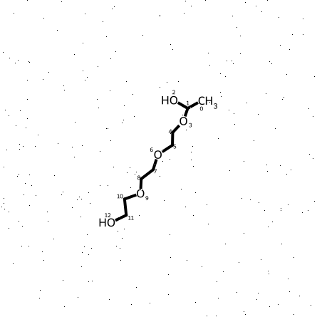 CC(O)OCCOCCOCCO